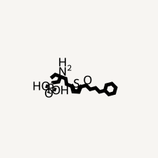 CCC(N)(CCc1ccc(C(=O)CCCC2CCCCC2)s1)CCP(=O)(O)O